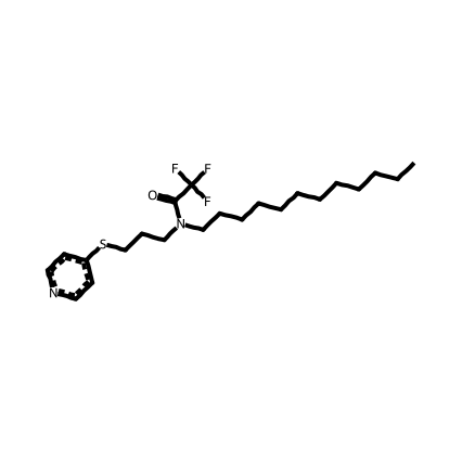 CCCCCCCCCCCCN(CCCSc1ccncc1)C(=O)C(F)(F)F